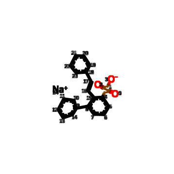 O=S(=O)([O-])c1cccc(-c2ccccc2)c1C=Cc1ccccc1.[Na+]